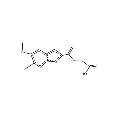 C=C(O)CCC(=O)c1cc2cc(OC)c(C)cc2s1